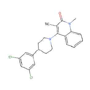 Cn1c(=O)c(C#N)c(N2CCC(c3cc(Cl)cc(Cl)c3)CC2)c2ccccc21